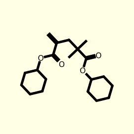 C=C(CC(C)(C)C(=O)OC1CCCCC1)C(=O)OC1CCCCC1